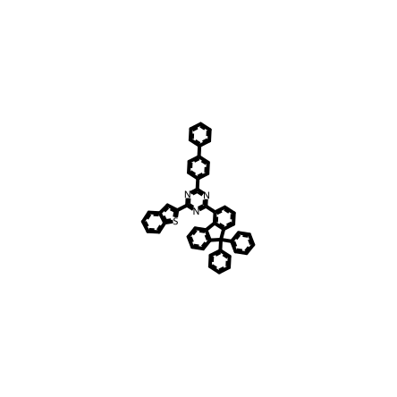 c1ccc(-c2ccc(-c3nc(-c4cc5ccccc5s4)nc(-c4cccc5c4-c4ccccc4C5(c4ccccc4)c4ccccc4)n3)cc2)cc1